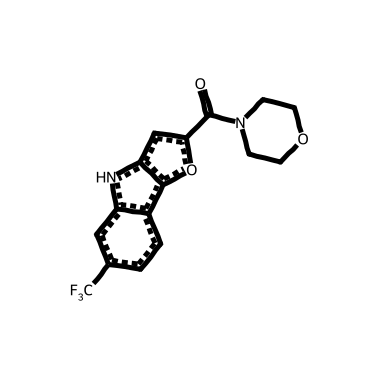 O=C(c1cc2[nH]c3cc(C(F)(F)F)ccc3c2o1)N1CCOCC1